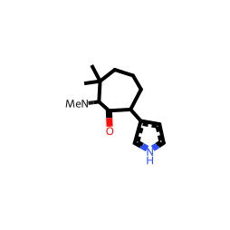 CNC1C(=O)C(c2cc[nH]c2)CCCC1(C)C